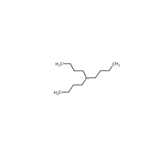 CCC[CH2][In]([CH2]CCC)[CH2]CCC